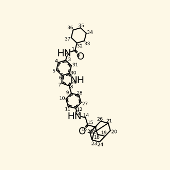 O=C(Nc1ccc2cc(-c3ccc(NCC(=O)C45CC6CC(CC(C6)C4)C5)cc3)[nH]c2c1)C1CCCCC1